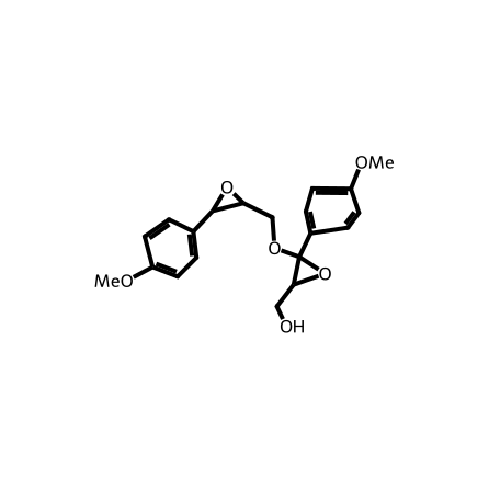 COc1ccc(C2OC2COC2(c3ccc(OC)cc3)OC2CO)cc1